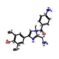 CC(C)(C)c1cc(C2=C[N+](C)(C(=O)c3ccc(N)cc3)C(CN)=N2)cc(C(C)(C)C)c1O